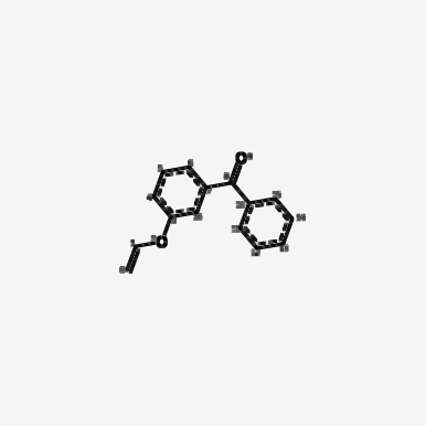 C=COc1cccc(C(=O)c2ccccc2)c1